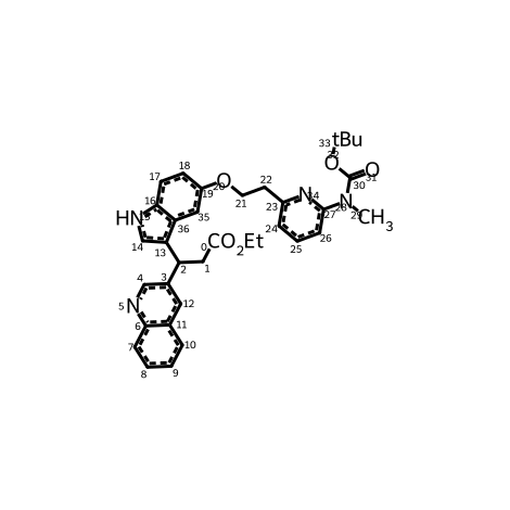 CCOC(=O)CC(c1cnc2ccccc2c1)c1c[nH]c2ccc(OCCc3cccc(N(C)C(=O)OC(C)(C)C)n3)cc12